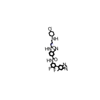 CO[C@H]1CC[C@H](NC/C=C/C(=O)Nc2ccc(C(=O)Nc3cc(F)c(F)c(-c4cc5ncn(C)c5cc4C)c3)cc2C#N)CC1